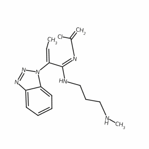 C=C(Cl)/N=C(NCCCNC)\C(=C/C)n1nnc2ccccc21